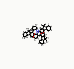 CC1(C)c2ccccc2-c2ccc(N(c3ccccc3-c3cccc4c3-c3ccccc3C4(C)C)c3ccccc3-c3cccc4c3C(C)(C)c3ccccc3-4)cc21